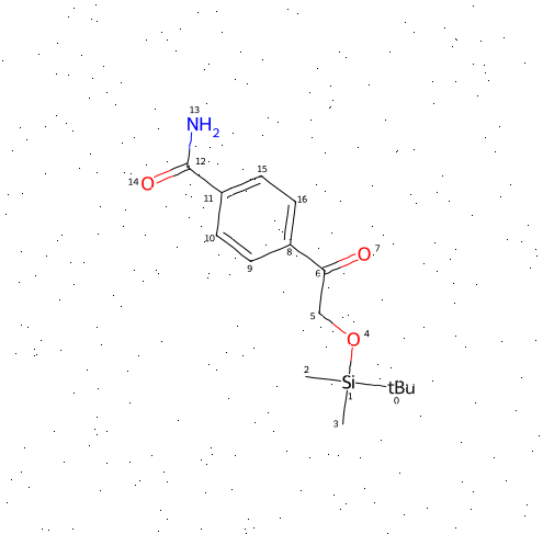 CC(C)(C)[Si](C)(C)OCC(=O)c1ccc(C(N)=O)cc1